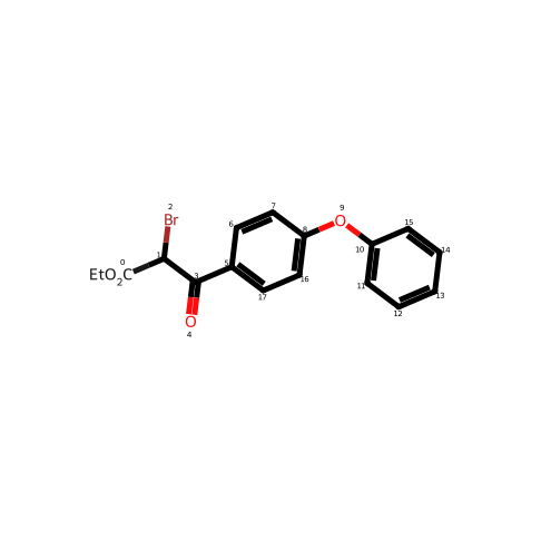 CCOC(=O)C(Br)C(=O)c1ccc(Oc2ccccc2)cc1